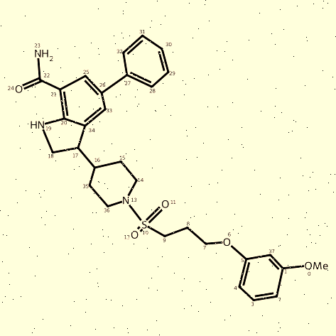 COc1cccc(OCCCS(=O)(=O)N2CCC(C3CNc4c(C(N)=O)cc(-c5ccccc5)cc43)CC2)c1